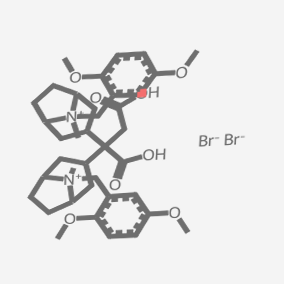 COc1ccc(OC)c(C[N+]2(C)C3CCC2CC(C(CC(=O)O)(C(=O)O)C2CC4CCC(C2)[N+]4(C)Cc2cc(OC)ccc2OC)C3)c1.[Br-].[Br-]